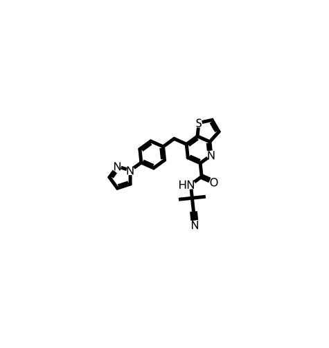 CC(C)(C#N)NC(=O)c1cc(Cc2ccc(-n3cccn3)cc2)c2sccc2n1